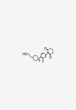 O=C1CCCC(=O)N1c1ccc(C2(F)CCC(CCO)CC2)c(F)c1